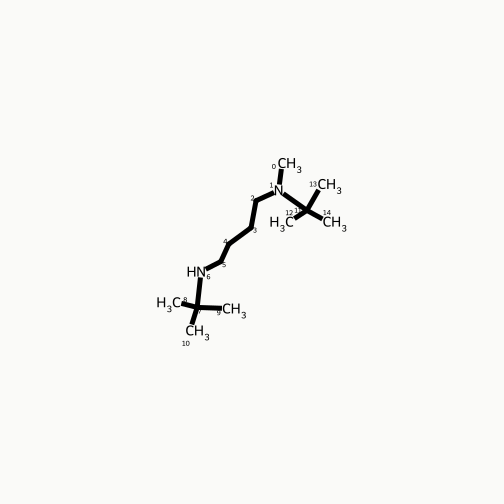 CN(CCCCNC(C)(C)C)C(C)(C)C